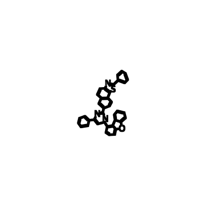 c1ccc(-c2cc(-c3cccc4oc5ccccc5c34)nc(-c3ccc4c(ccc5nc(-c6ccccc6)sc54)c3)n2)cc1